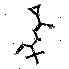 CC(C)(C)[C@@H](C=O)N/C=C(\N)C1CC1